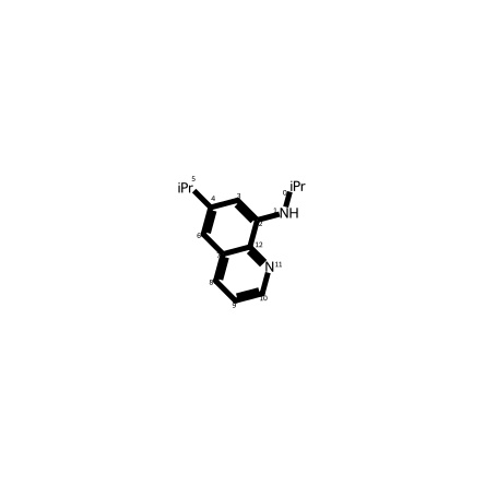 CC(C)Nc1cc(C(C)C)cc2cccnc12